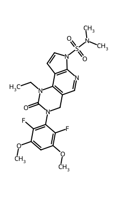 CCN1C(=O)N(c2c(F)c(OC)cc(OC)c2F)Cc2cnc3c(ccn3S(=O)(=O)N(C)C)c21